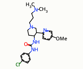 COc1ccc(C2CN(CCCN(C)C)CCC2NC(=O)Nc2ccc(Cl)cc2)nc1